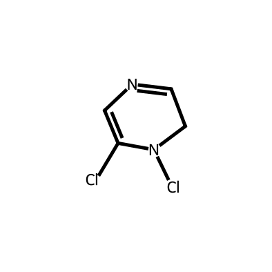 ClC1=CN=CCN1Cl